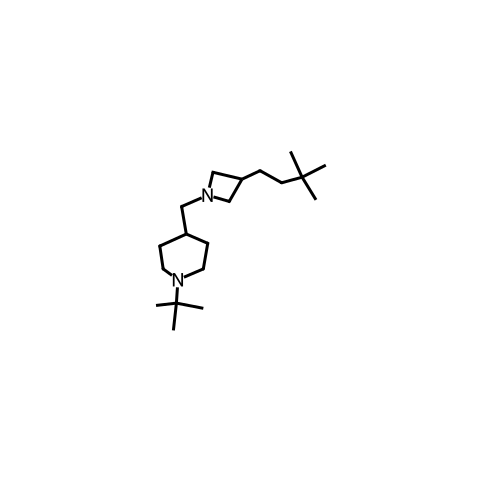 CC(C)(C)CCC1CN(CC2CCN(C(C)(C)C)CC2)C1